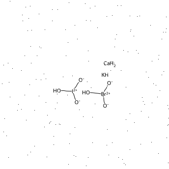 [CaH2].[KH].[O-][Br+2]([O-])O.[O-][I+2]([O-])O